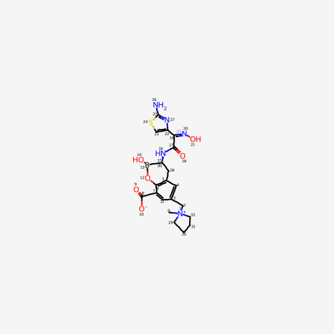 C[N+]1(Cc2cc3c(c(C(=O)[O-])c2)OB(O)[C@@H](NC(=O)/C(=N\O)c2csc(N)n2)C3)CCCC1